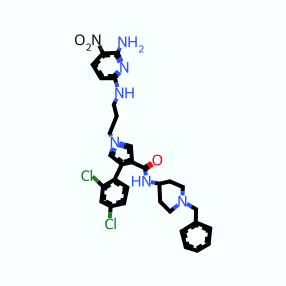 Nc1nc(NCCCn2cc(C(=O)NC3CCN(Cc4ccccc4)CC3)c(-c3ccc(Cl)cc3Cl)c2)ccc1[N+](=O)[O-]